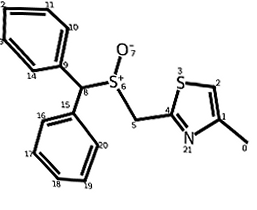 Cc1csc(C[S+]([O-])C(c2ccccc2)c2ccccc2)n1